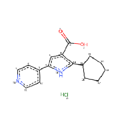 Cl.O=C(O)c1cc(-c2ccncc2)[nH]c1C1CCCCC1